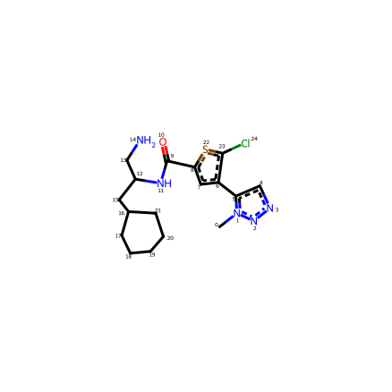 Cn1nncc1-c1cc(C(=O)NC(CN)CC2CCCCC2)sc1Cl